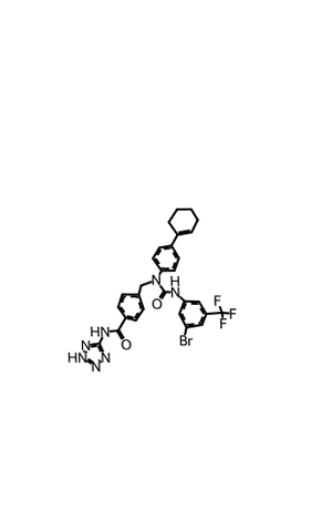 O=C(Nc1nn[nH]n1)c1ccc(CN(C(=O)Nc2cc(Br)cc(C(F)(F)F)c2)c2ccc(C3=CCCCC3)cc2)cc1